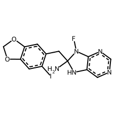 NC1(Cc2cc3c(cc2I)OCO3)Nc2cncnc2N1F